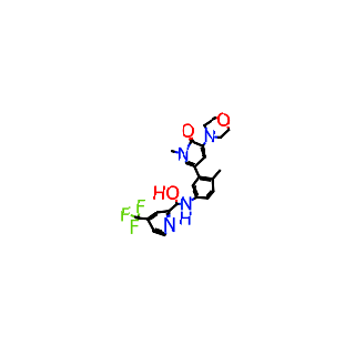 Cc1ccc(NC(O)c2cc(C(F)(F)F)ccn2)cc1-c1cc(N2CCOCC2)c(=O)n(C)c1